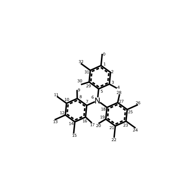 Cc1cc(C)c(N(c2c(C)c(C)c(C)c(C)c2C)c2c(C)c(C)c(C)c(C)c2C)c(C)c1C